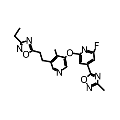 CCc1noc(CCc2cncc(Oc3cc(-c4nc(C)no4)cc(F)n3)c2C)n1